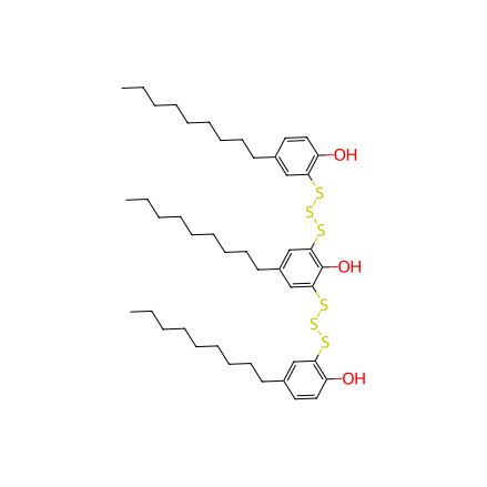 CCCCCCCCCc1ccc(O)c(SSSc2cc(CCCCCCCCC)cc(SSSc3cc(CCCCCCCCC)ccc3O)c2O)c1